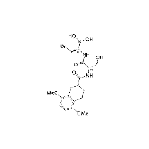 COc1ccc(OC)c2c1CCC(C(=O)N[C@@H](CO)C(=O)N[C@@H](CC(C)C)B(O)O)C2